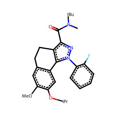 COc1cc2c(cc1OC(C)C)-c1c(c(C(=O)N(C)C(C)(C)C)nn1-c1ccccc1F)CC2